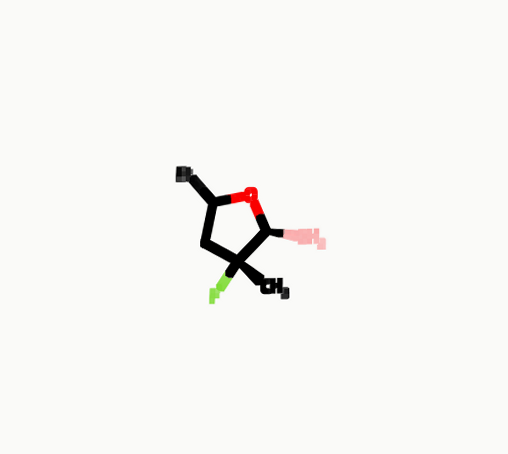 B[C@@H]1OC(CC)C[C@@]1(C)F